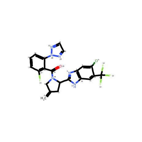 C=C1CC(c2nc3cc(Cl)c(C(F)(F)F)cc3[nH]2)N(C(=O)c2c(F)cccc2-n2nccn2)C1